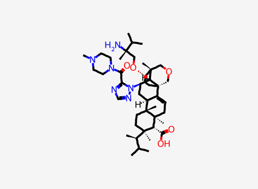 CC(C)[C@@H](C)[C@@]1(C)CC[C@]2(C)[C@H]3CC[C@@H]4[C@@]5(COC[C@@]4(C)[C@@H](OC[C@](C)(N)C(C)C)[C@H](n4ncnc4C(=O)N4CCN(C)CC4)C5)C3=CC[C@@]2(C)[C@@H]1C(=O)O